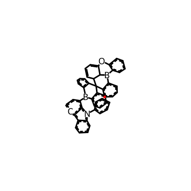 C1=CC2C3B(c4ccccc4OC3=C1)c1ccccc1C21c2ccccc2B(c2cccc3c4ccccc4n(-c4ccccc4)c23)c2ccccc21